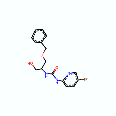 O=C(Nc1ccc(Br)cn1)NC(CO)COCc1ccccc1